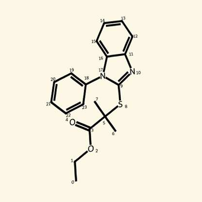 CCOC(=O)C(C)(C)Sc1nc2ccccc2n1-c1ccccc1